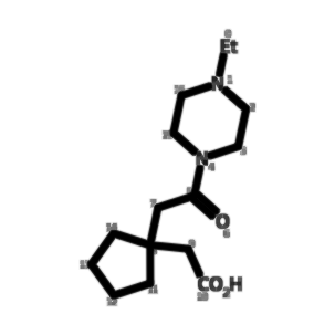 CCN1CCN(C(=O)CC2(CC(=O)O)CCCC2)CC1